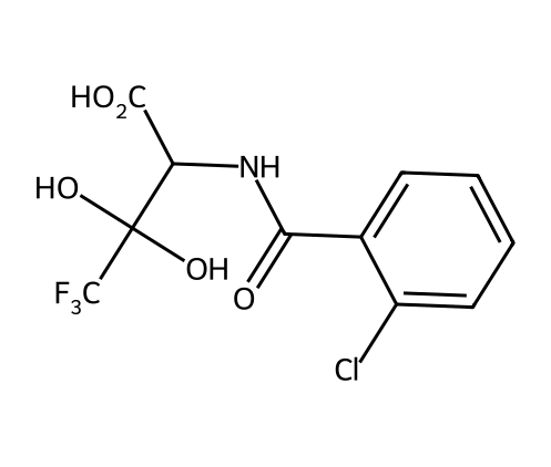 O=C(NC(C(=O)O)C(O)(O)C(F)(F)F)c1ccccc1Cl